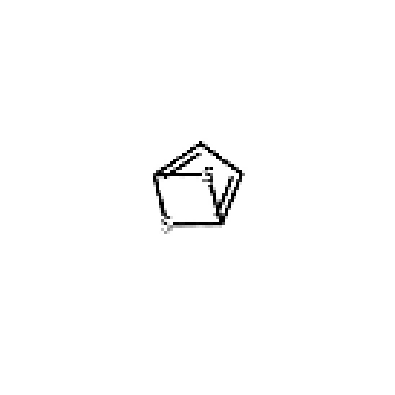 c1cc2sc1s2